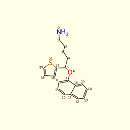 NCCCCC(Oc1cccc2ccccc12)c1cccs1